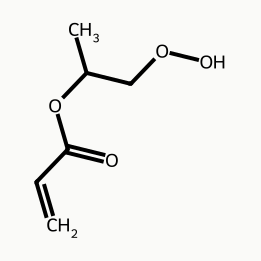 C=CC(=O)OC(C)COO